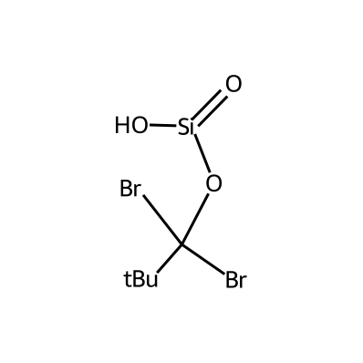 CC(C)(C)C(Br)(Br)O[Si](=O)O